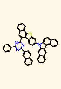 c1ccc(-c2nc(-c3ccc4ccccc4c3)nc(-c3cc4ccccc4c4sc5cc(-n6c7cc8ccccc8cc7c7c8ccccc8ccc76)ccc5c34)n2)cc1